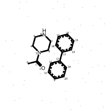 CC(=O)N1CCNCC1.c1ccc(-c2ccccc2)cc1